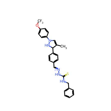 CC1=CN(c2ccc(OC(F)(F)F)cc2)NC1c1ccc(/C=N/NC(=S)NCc2ccccc2)cc1